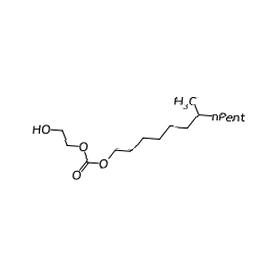 CCCCCC(C)CCCCCCOC(=O)OCCO